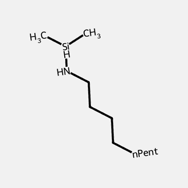 CCCCCCCCCN[SiH](C)C